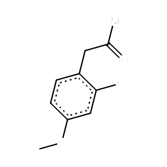 COc1ccc(CC(N)=O)c(F)c1